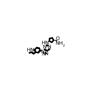 Cc1cc2cc(-n3nnc4cnc(N[C@@H]5CC[C@@H](C(N)=O)C5)nc43)ccc2[nH]1